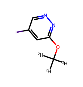 [2H]C([2H])([2H])Oc1cc(I)cnn1